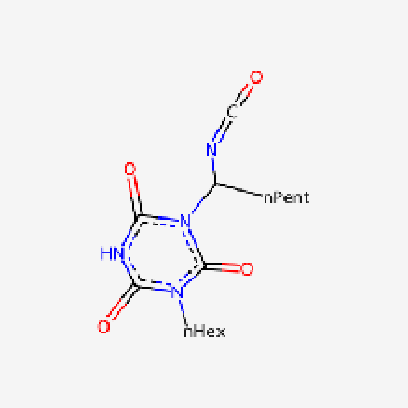 CCCCCCn1c(=O)[nH]c(=O)n(C(CCCCC)N=C=O)c1=O